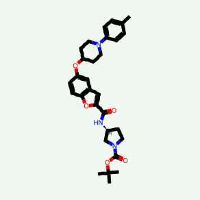 Cc1ccc(N2CCC(Oc3ccc4oc(C(=O)N[C@@H]5CCN(C(=O)OC(C)(C)C)C5)cc4c3)CC2)cc1